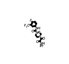 CC(C)NC(=O)C(=O)N1CCN(C(=O)Nc2ccc(F)c(C(F)(F)F)c2)SC1